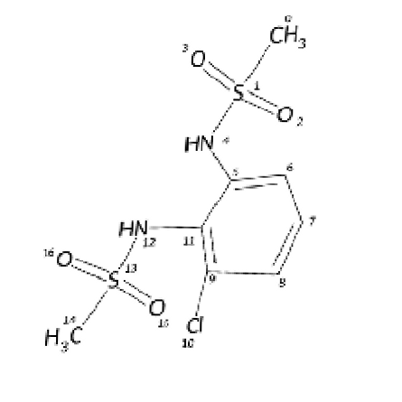 CS(=O)(=O)Nc1cccc(Cl)c1NS(C)(=O)=O